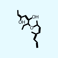 C=C/C=C(C)\C=C/C(C)OC(CC)/C(O)=C\C(O)=C/C